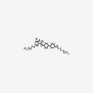 CCCCCOc1ccc(-c2ccc(OC(=O)C(OCCCCC)C(F)(F)F)cc2)cc1